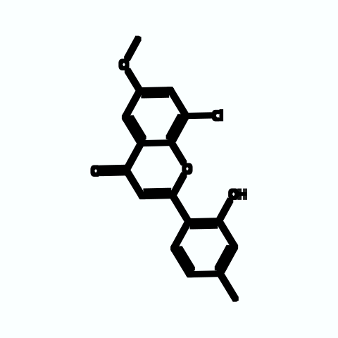 COc1cc(Cl)c2oc(-c3ccc(C)cc3O)cc(=O)c2c1